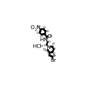 C[C@@H]1Cc2sc(Br)cc2[C@H](C)N1CCNC(=O)c1ccc([N+](=O)[O-])cc1.Cl